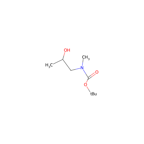 CC(O)CN(C)C(=O)OC(C)(C)C